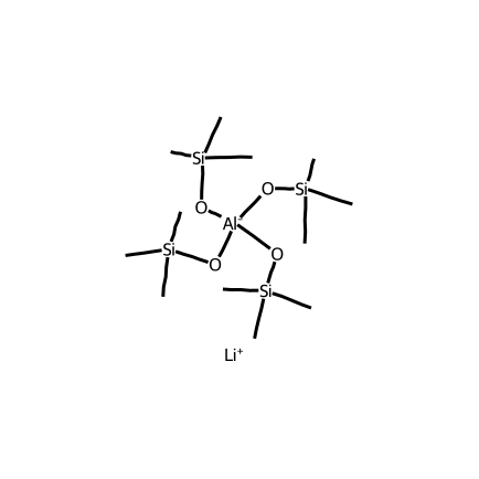 C[Si](C)(C)[O][Al-]([O][Si](C)(C)C)([O][Si](C)(C)C)[O][Si](C)(C)C.[Li+]